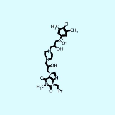 Cc1cc([S+]([O-])CC(O)CN2CCN(CC(O)Cn3cnc4c3c(=O)n(C)c(=O)n4CC(C)C)CC2)cc(C)c1Cl